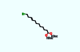 CCCCCCCCCCOC(CCCCCCC/C=C/CCBr)OCCCCCCCCCC